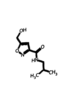 CC(C)CNC(=O)c1cc(CO)on1